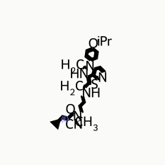 C=C(NCCCCN(C)C(=O)/C(C#N)=C/C1CC1)c1sc2nccc3c2c1[nH]c(=C)n3-c1ccc(OC(C)C)cc1